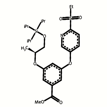 CCS(=O)(=O)c1ccc(Oc2cc(O[C@@H](C)CO[Si](C(C)C)(C(C)C)C(C)C)cc(C(=O)OC)c2)cn1